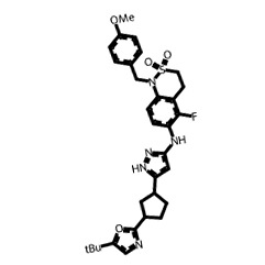 COc1ccc(CN2c3ccc(Nc4cc(C5CCC(c6ncc(C(C)(C)C)o6)C5)[nH]n4)c(F)c3CCS2(=O)=O)cc1